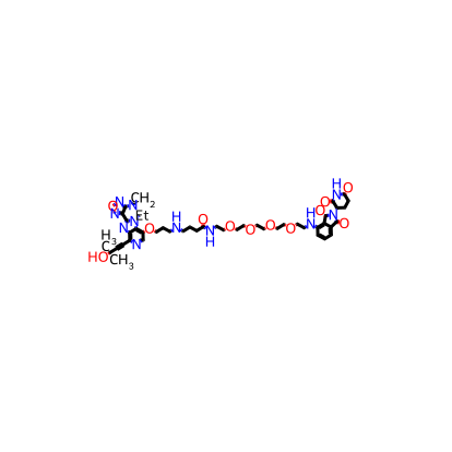 C=Nc1nonc1-c1nc2c(C#CC(C)(C)O)ncc(OCCCNCCCC(=O)NCCOCCOCCOCCOCCNc3cccc4c3C(=O)N(C3CCC(=O)NC3=O)C4=O)c2n1CC